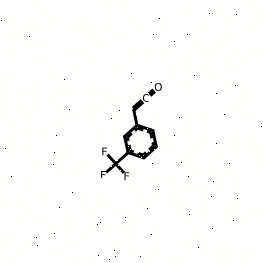 O=C=Cc1cccc(C(F)(F)F)c1